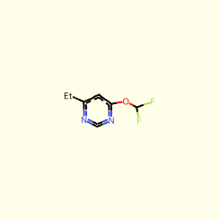 CCc1cc(OC(F)F)ncn1